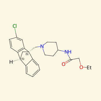 CCOCC(=O)NC1CCN(C[C@@]23C[C@@H](c4ccccc42)c2ccc(Cl)cc23)CC1